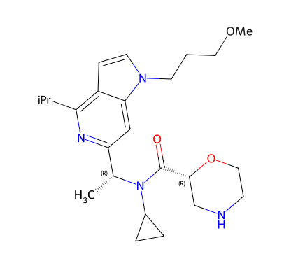 COCCCn1ccc2c(C(C)C)nc([C@@H](C)N(C(=O)[C@H]3CNCCO3)C3CC3)cc21